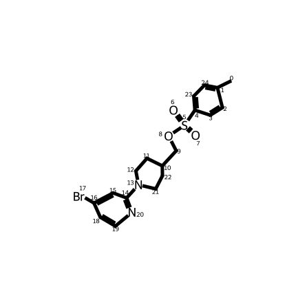 Cc1ccc(S(=O)(=O)OCC2CCN(c3cc(Br)ccn3)CC2)cc1